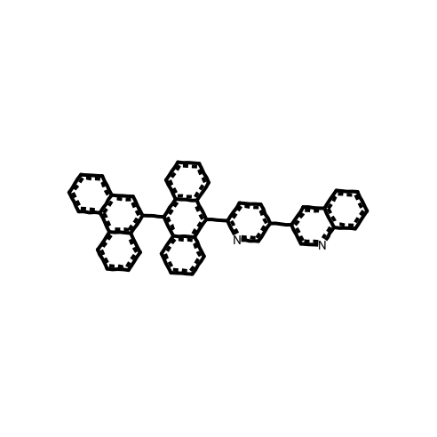 c1ccc2ncc(-c3ccc(-c4c5ccccc5c(-c5cc6ccccc6c6ccccc56)c5ccccc45)nc3)cc2c1